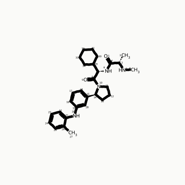 CN[C@@H](C)C(=O)N[C@H](C(=O)N1CCC[C@H]1c1cccc(Nc2ccccc2C)c1)C1CCCCC1